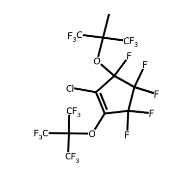 CC(OC1(F)C(Cl)=C(OC(C(F)(F)F)(C(F)(F)F)C(F)(F)F)C(F)(F)C1(F)F)(C(F)(F)F)C(F)(F)F